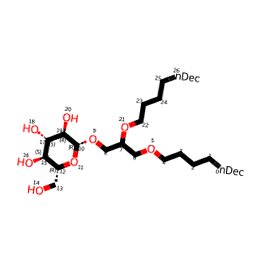 CCCCCCCCCCCCCCOCC(CO[C@@H]1O[C@H](CO)[C@@H](O)[C@H](O)[C@H]1O)OCCCCCCCCCCCCCC